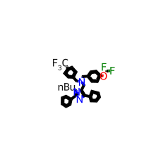 CCCCn1c(-c2ccccc2)nc(-c2ccccc2)c1CN(Cc1ccc(OC(F)F)cc1)Cc1ccc(C(F)(F)F)cc1